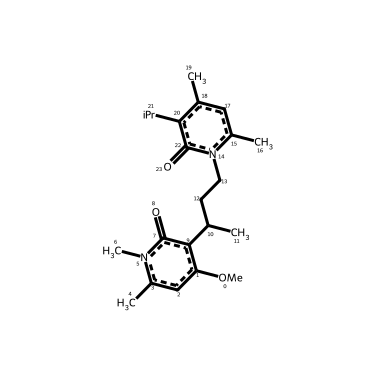 COc1cc(C)n(C)c(=O)c1C(C)CCn1c(C)cc(C)c(C(C)C)c1=O